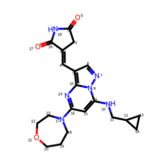 O=C1C/C(=C\c2cnn3c(NCC4CC4)cc(N4CCCOCC4)nc23)C(=O)N1